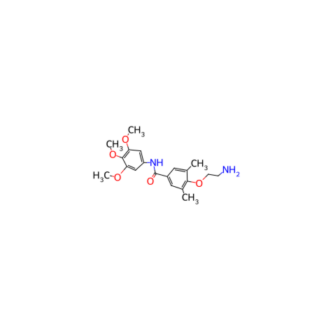 COc1cc(NC(=O)c2cc(C)c(OCCN)c(C)c2)cc(OC)c1OC